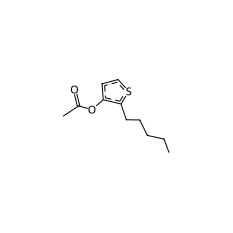 CCCCCc1sccc1OC(C)=O